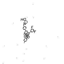 Cc1ccc(S(=O)(=O)n2cc(-c3cc(F)cc(F)c3)c3cc(-c4ccc(CN5CCCC(O)C5)cc4)cnc32)cc1